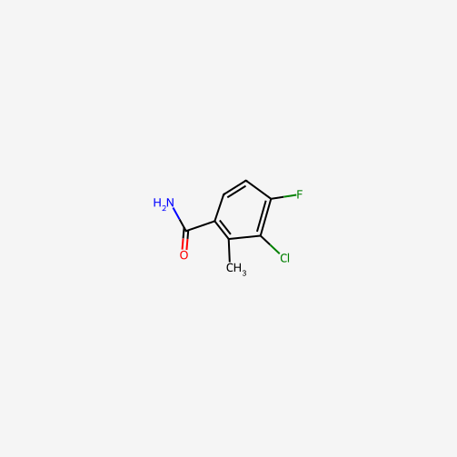 Cc1c(C(N)=O)ccc(F)c1Cl